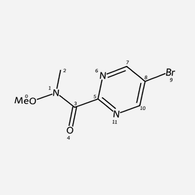 CON(C)C(=O)c1ncc(Br)cn1